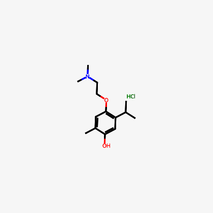 Cc1cc(OCCN(C)C)c(C(C)C)cc1O.Cl